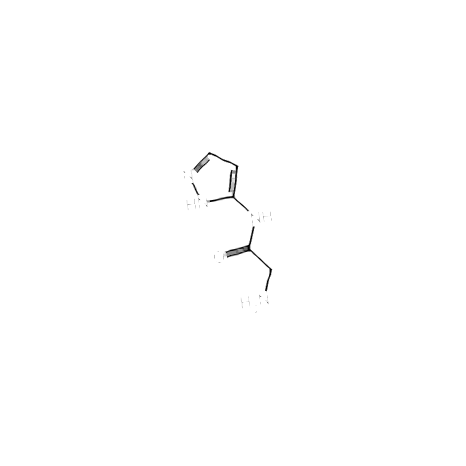 NCC(=O)Nc1ccn[nH]1